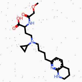 COCC(=O)NC(CCN(CCCCc1ccc2c(n1)NCCC2)C1CC1)C(=O)O